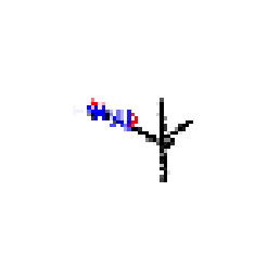 CCCCC/C=C/CC1C(CCCCCC)C=CC(CCCCCCCC)C1CCCCCCCC(=O)NCCNCCN1CCNC1=O